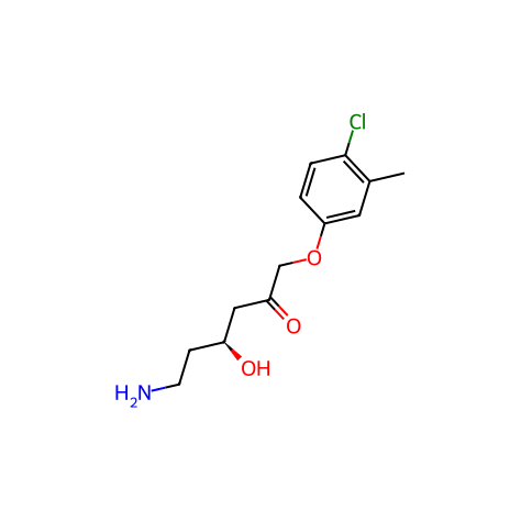 Cc1cc(OCC(=O)C[C@@H](O)CCN)ccc1Cl